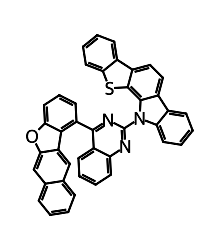 c1ccc2cc3c(cc2c1)oc1cccc(-c2nc(-n4c5ccccc5c5ccc6c7ccccc7sc6c54)nc4ccccc24)c13